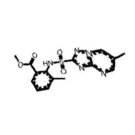 COC(=O)c1cccc(C)c1NS(=O)(=O)c1nc2ncc(C)cn2n1